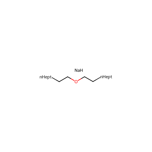 CCCCCCCCCOCCCCCCCCC.[NaH]